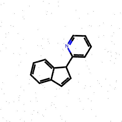 C1=CC(c2ccccn2)c2ccccc21